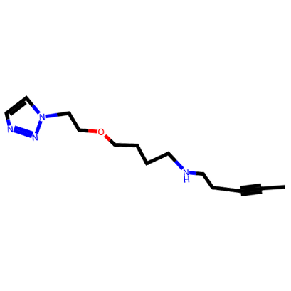 CC#CCCNCCCCOCCn1ccnn1